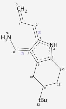 C=C/C=c1/[nH]c2c(/c1=C/N)CC(C(C)(C)C)CC2